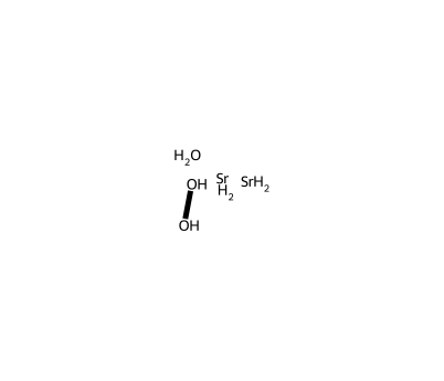 O.OO.[SrH2].[SrH2]